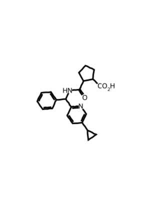 O=C(O)C1CCCC1C(=O)NC(c1ccccc1)c1ccc(C2CC2)cn1